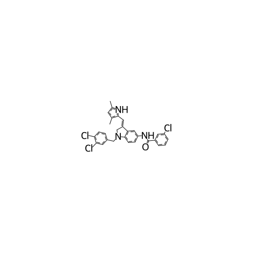 Cc1cc(C)c(C=C2CN(Cc3ccc(Cl)c(Cl)c3)c3ccc(NC(=O)c4cccc(Cl)c4)cc32)[nH]1